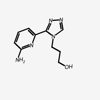 Nc1cccc(-c2nncn2CCCO)n1